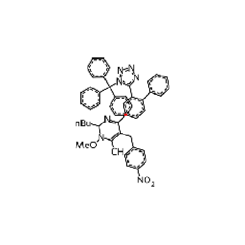 CCCCC1N=C(c2ccc(-c3ccccc3)c(-c3nnnn3C(c3ccccc3)(c3ccccc3)c3ccccc3)c2)C(Cc2ccc([N+](=O)[O-])cc2)=C(C)N1OC